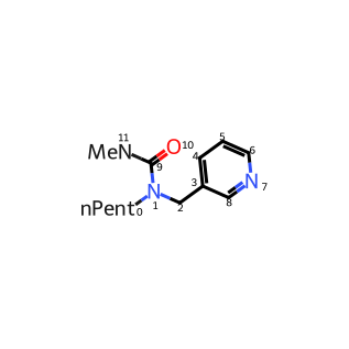 CCCCCN(Cc1cccnc1)C(=O)NC